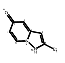 CCc1cc2cc(=O)ccn2[nH]1